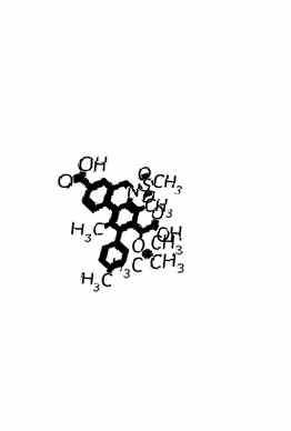 Cc1ccc(-c2c(C)c3c(c(C)c2[C@H](OC(C)(C)C)C(=O)O)N(S(C)(=O)=O)Cc2cc(C(=O)O)ccc2-3)cc1